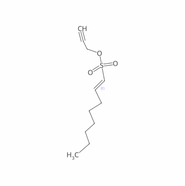 C#CCOS(=O)(=O)/C=C/CCCCCC